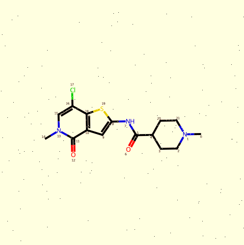 CN1CCC(C(=O)Nc2cc3c(=O)n(C)cc(Cl)c3s2)CC1